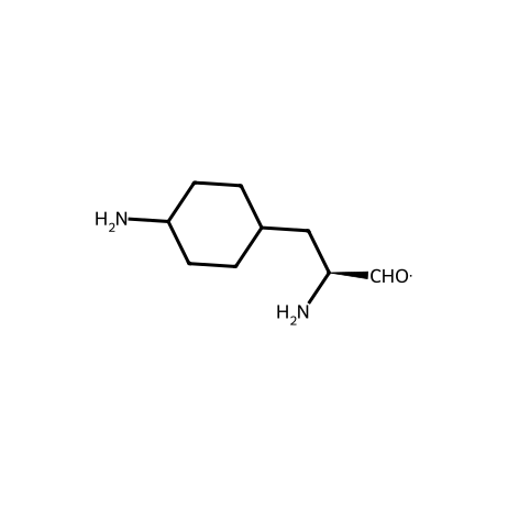 NC1CCC(C[C@H](N)[C]=O)CC1